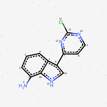 Nc1cccc2c(-c3ccnc(Cl)n3)c[nH]c12